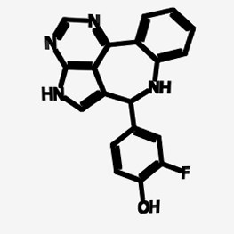 Oc1ccc(C2Nc3ccccc3-c3ncnc4[nH]cc2c34)cc1F